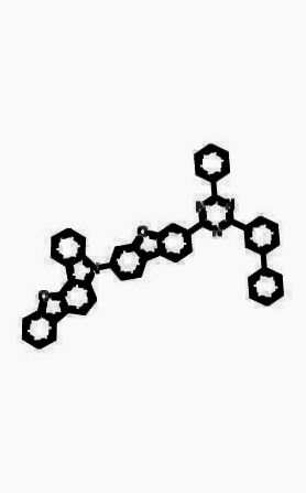 c1ccc(-c2cccc(-c3nc(-c4ccccc4)nc(-c4ccc5c(c4)oc4cc(-n6c7ccccc7c7c8oc9ccccc9c8ccc76)ccc45)n3)c2)cc1